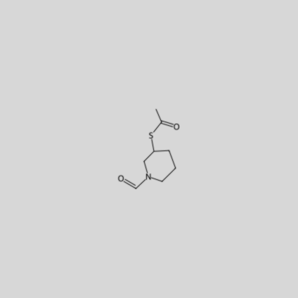 CC(=O)SC1CCCN(C=O)C1